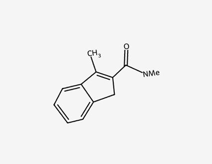 CNC(=O)C1=C(C)c2ccccc2C1